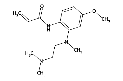 C=CC(=O)Nc1ccc(OC)cc1N(C)CCN(C)C